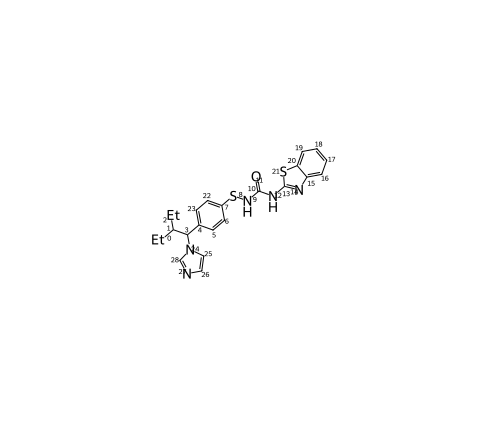 CCC(CC)C(c1ccc(SNC(=O)Nc2nc3ccccc3s2)cc1)n1ccnc1